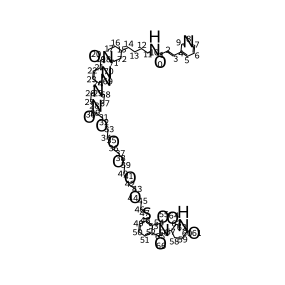 O=C(/C=C/c1cccnc1)NCCCCC1CCN(C(=O)c2ccc(N3CCN(C(=O)COCCOCCOCCOCCOCCSc4cccc5c4C(=O)N(C4CCC(=O)NC4=O)C5=O)CC3)nn2)CC1